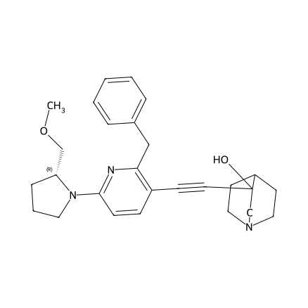 COC[C@H]1CCCN1c1ccc(C#CC2(O)CN3CCC2CC3)c(Cc2ccccc2)n1